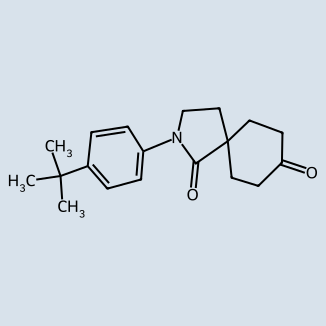 CC(C)(C)c1ccc(N2CCC3(CCC(=O)CC3)C2=O)cc1